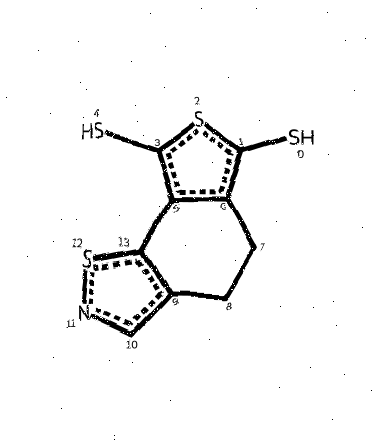 Sc1sc(S)c2c1CCc1cnsc1-2